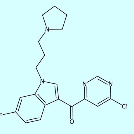 O=C(c1cc(Cl)ncn1)c1cn(CCCN2CCCC2)c2cc(F)ccc12